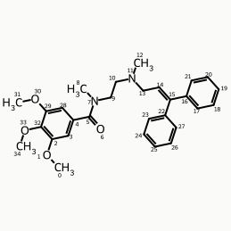 COc1cc(C(=O)N(C)CCN(C)CC=C(c2ccccc2)c2ccccc2)cc(OC)c1OC